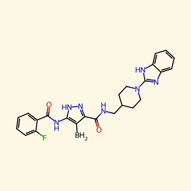 Bc1c(C(=O)NCC2CCN(c3nc4ccccc4[nH]3)CC2)n[nH]c1NC(=O)c1ccccc1F